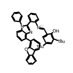 CC(C)(C)c1cc(/C=N/c2ccccc2-c2nc3c(-c4cccc5c4oc4ccccc45)cccc3n2-c2ccccc2)c(O)c(C(C)(C)C)c1